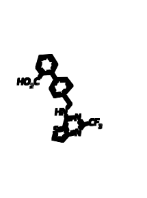 O=C(O)c1ccccc1-c1ccc(CNc2nc(C(F)(F)F)nc3ccsc23)cc1